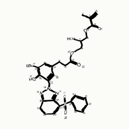 C=C(C)C(=O)OCC(O)COC(=O)CCc1cc(-n2nc3cccc(S(=O)(=O)c4ccccc4)c3n2)c(O)c(C(C)(C)C)c1